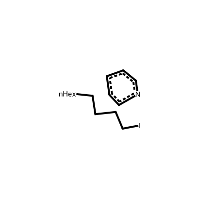 CCCCCCCCCCI.c1ccncc1